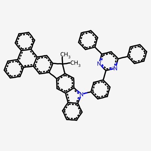 CC1(C)c2cc3c4ccccc4c4ccccc4c3cc2-c2cc3c4ccccc4n(-c4cccc(-c5nc(-c6ccccc6)cc(-c6ccccc6)n5)c4)c3cc21